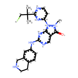 CC(C)n1c(=O)c2cnc(Nc3ccc4c(c3)CNCC4)nc2n1-c1ccnc(C(C)(C)CF)n1